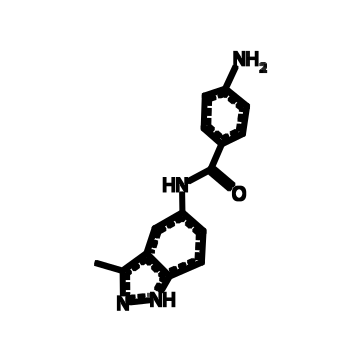 Cc1n[nH]c2ccc(NC(=O)c3ccc(N)cc3)cc12